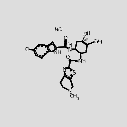 CN1CCc2nc(C(=O)NC3CC(O)[C@H](O)CC3NC(=O)c3cc4cc(Cl)ccc4[nH]3)sc2C1.Cl